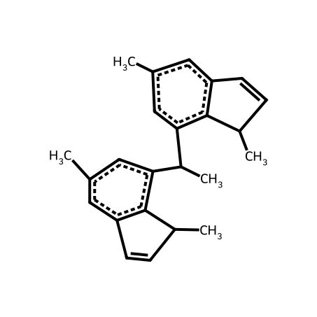 Cc1cc2c(c(C(C)c3cc(C)cc4c3C(C)C=C4)c1)C(C)C=C2